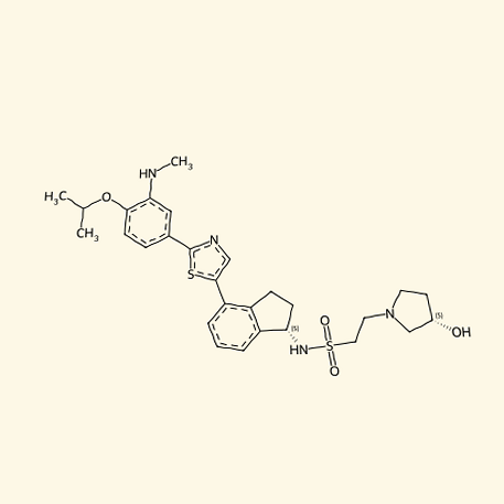 CNc1cc(-c2ncc(-c3cccc4c3CC[C@@H]4NS(=O)(=O)CCN3CC[C@H](O)C3)s2)ccc1OC(C)C